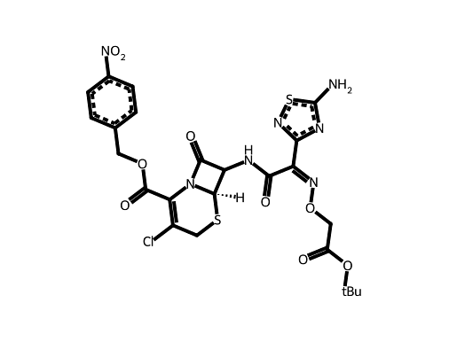 CC(C)(C)OC(=O)CO/N=C(\C(=O)NC1C(=O)N2C(C(=O)OCc3ccc([N+](=O)[O-])cc3)=C(Cl)CS[C@H]12)c1nsc(N)n1